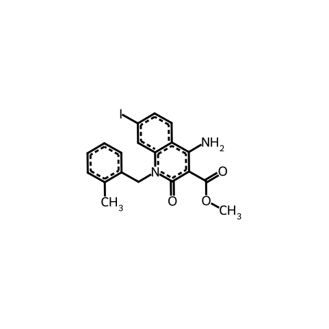 COC(=O)c1c(N)c2ccc(I)cc2n(Cc2ccccc2C)c1=O